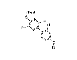 CCCCCOc1nc(CC)c(-c2ccc(OCC)cc2Cl)nc1CC